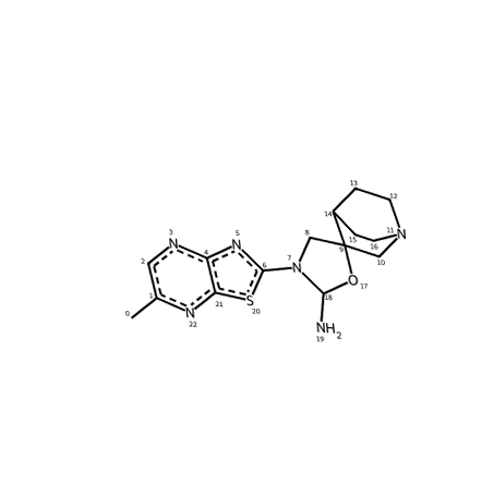 Cc1cnc2nc(N3CC4(CN5CCC4CC5)OC3N)sc2n1